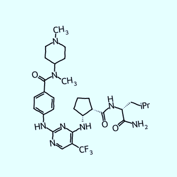 CC(C)C[C@@H](NC(=O)[C@H]1CCC[C@H]1Nc1nc(Nc2ccc(C(=O)N(C)C3CCN(C)CC3)cc2)ncc1C(F)(F)F)C(N)=O